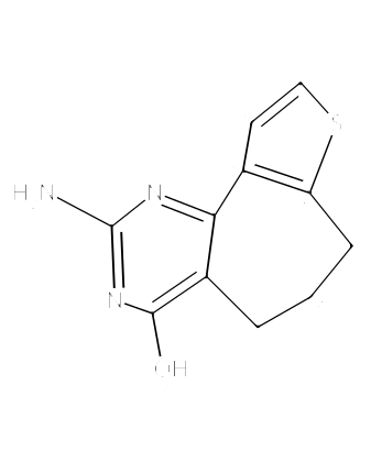 Nc1nc(O)c2c(n1)-c1ccsc1CCC2